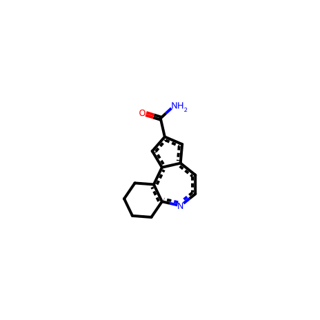 NC(=O)c1cc2ccnc3c(c-2c1)CCCC3